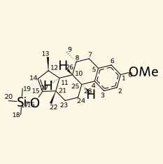 COc1ccc2c(c1)C[C@@H](C)[C@H]1[C@@H]3[C@H](C)C=C(O[Si](C)(C)C)[C@@]3(C)CC[C@H]21